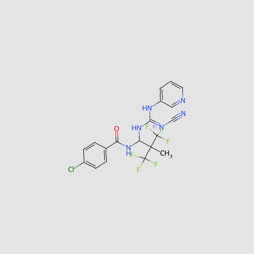 CC(C(NC(=O)c1ccc(Cl)cc1)N/C(=N/C#N)Nc1cccnc1)(C(F)(F)F)C(F)(F)F